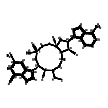 CSC1OPC2[C@@H](COP(O)(=S)O[C@@H](n3nnc4c(=O)[nH]c(N)nc43)[C@@H]1F)O[C@@H](n1cnc3c(N)ncnc31)[C@H]2F